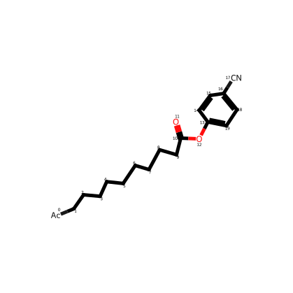 CC(=O)CCCCCCCCCC(=O)Oc1ccc(C#N)cc1